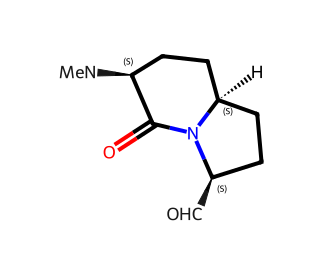 CN[C@H]1CC[C@H]2CC[C@@H](C=O)N2C1=O